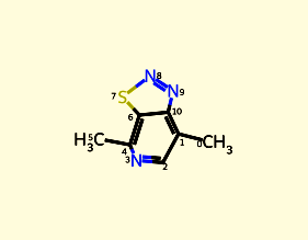 Cc1cnc(C)c2snnc12